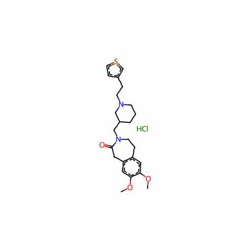 COc1cc2c(cc1OC)CC(=O)N(CC1CCCN(CCc3ccsc3)C1)CC2.Cl